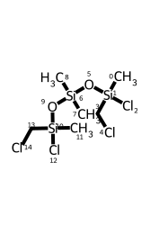 C[Si](Cl)(CCl)O[Si](C)(C)O[Si](C)(Cl)CCl